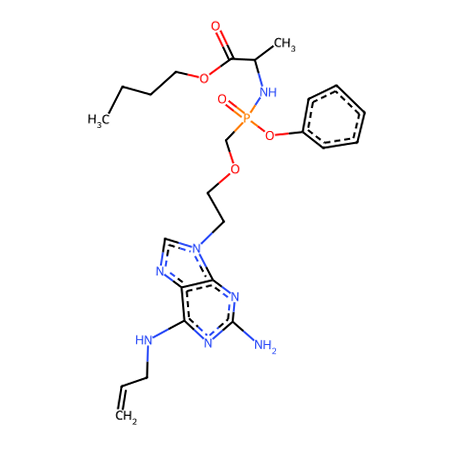 C=CCNc1nc(N)nc2c1ncn2CCOCP(=O)(NC(C)C(=O)OCCCC)Oc1ccccc1